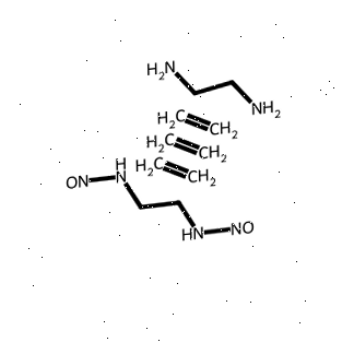 C=C.C=C.C=C.NCCN.O=NNCCNN=O